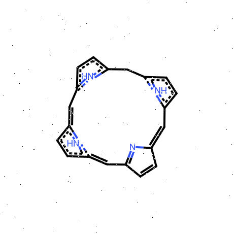 C1=C/C2=C/c3ccc([nH]3)Cc3ccc([nH]3)/C=c3/cc/c([nH]3)=C/C1=N2